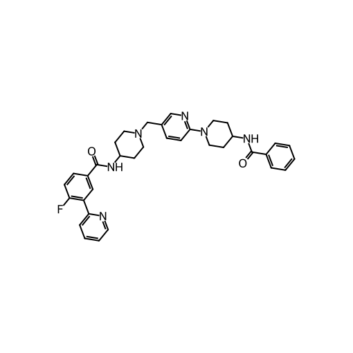 O=C(NC1CCN(Cc2ccc(N3CCC(NC(=O)c4ccccc4)CC3)nc2)CC1)c1ccc(F)c(-c2ccccn2)c1